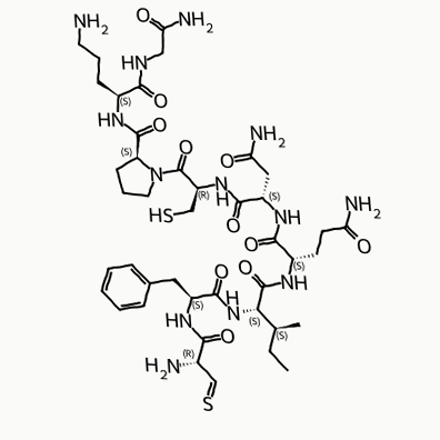 CC[C@H](C)[C@H](NC(=O)[C@H](Cc1ccccc1)NC(=O)[C@@H](N)C=S)C(=O)N[C@@H](CCC(N)=O)C(=O)N[C@@H](CC(N)=O)C(=O)N[C@@H](CS)C(=O)N1CCC[C@H]1C(=O)N[C@@H](CCCN)C(=O)NCC(N)=O